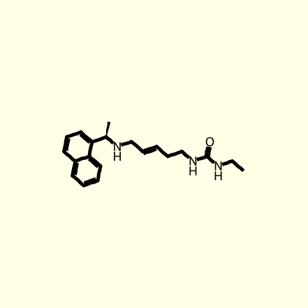 CCNC(=O)NCC/C=C/CN[C@H](C)c1cccc2ccccc12